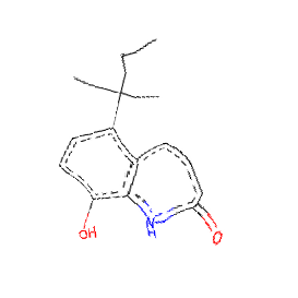 CCC(C)(C)c1ccc(O)c2[nH]c(=O)ccc12